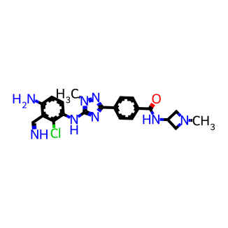 CN1CC(NC(=O)c2ccc(-c3nc(Nc4ccc(N)c(C=N)c4Cl)n(C)n3)cc2)C1